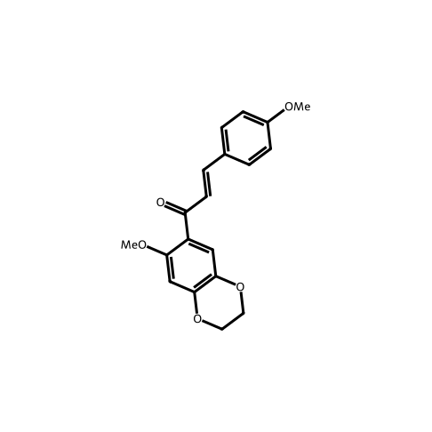 COc1ccc(C=CC(=O)c2cc3c(cc2OC)OCCO3)cc1